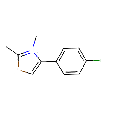 Cc1scc(-c2ccc(F)cc2)[n+]1C